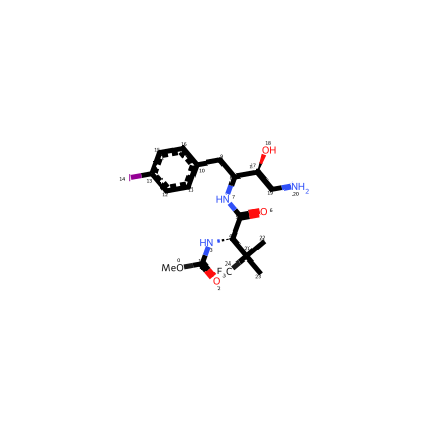 COC(=O)N[C@H](C(=O)NC(Cc1ccc(I)cc1)[C@@H](O)CN)C(C)(C)C(F)(F)F